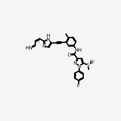 Cc1ccc(NC(=O)c2cc([S+](C)[O-])n(-c3ccc(F)cc3)n2)cc1C#Cc1cnc(/C=C\C=N)[nH]1